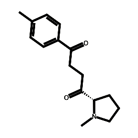 Cc1ccc(C(=O)CCC(=O)[C@@H]2CCCN2C)cc1